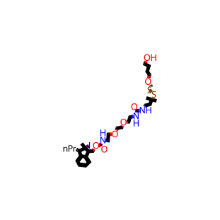 CCCC1c2ccccc2C(COC(=O)NCCOCCOCCNC(=O)NCCC(C)(C)SSCOCCCCO)C1(C)I